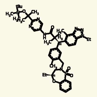 CC[C@@H]1CN(Cc2cc([C@@H](c3ccc4c(nnn4CC)c3C)C(C)(C)C(=O)Nc3cnc(C(C)(C)O[Si](C)(C)C(C)(C)C)nc3)ccc2C)S(=O)(=O)c2ccccc2O1